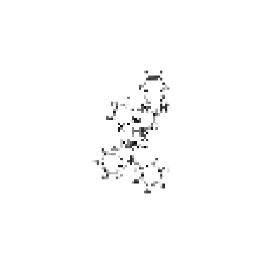 B(Oc1nc2ccccc2n1-c1ccccc1)Oc1nc2ccccc2n1-c1ccccc1